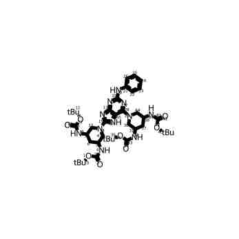 CC(C)(C)OC(=O)NC1CC(NC(=O)OC(C)(C)C)CN(c2nc3nc(Nc4ccccc4)nc(N4CC(NC(=O)OC(C)(C)C)CC(NC(=O)OC(C)(C)C)C4)c3[nH]2)C1